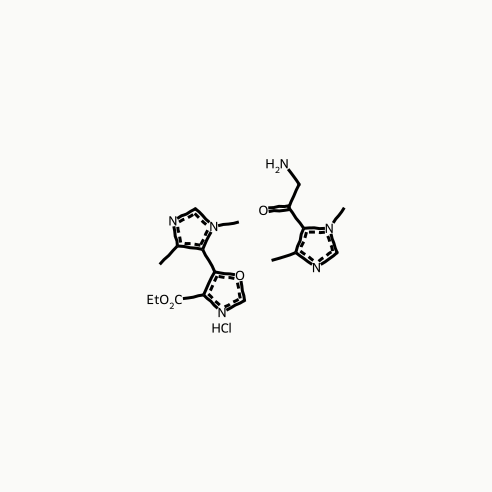 CCOC(=O)c1ncoc1-c1c(C)ncn1C.Cc1ncn(C)c1C(=O)CN.Cl